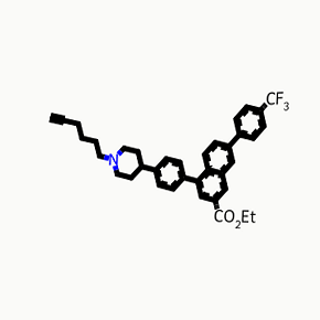 C#CCCCCN1CCC(c2ccc(-c3cc(C(=O)OCC)cc4cc(-c5ccc(C(F)(F)F)cc5)ccc34)cc2)CC1